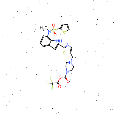 CN(c1cccc2cc(-c3ncc(CN4CCN(C(=O)OC(=O)C(F)(F)F)CC4)s3)[nH]c12)S(=O)(=O)c1cccs1